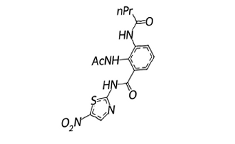 CCCC(=O)Nc1cccc(C(=O)Nc2ncc([N+](=O)[O-])s2)c1NC(C)=O